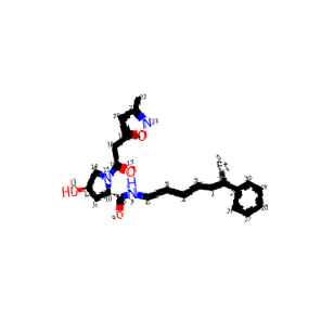 CCC(CCCCCNC(=O)[C@@H]1C[C@@H](O)CN1C(=O)Cc1cc(C)no1)c1ccccc1